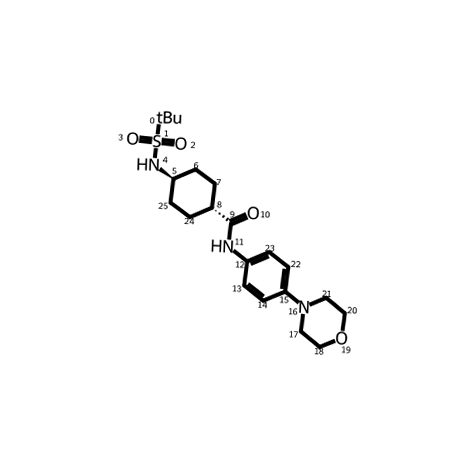 CC(C)(C)S(=O)(=O)N[C@H]1CC[C@H](C(=O)Nc2ccc(N3CCOCC3)cc2)CC1